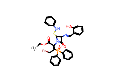 O=C(OCC(Cl)(Cl)Cl)C(=C(CBr)P(=O)(c1ccccc1)c1ccccc1)N1C(=O)C(N=Cc2ccccc2O)C1SNc1ccccc1